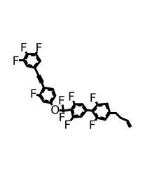 C=CCCc1cc(F)c(-c2cc(F)c(C(F)(F)Oc3ccc(C#Cc4cc(F)c(F)c(F)c4)c(F)c3)c(F)c2)c(F)c1